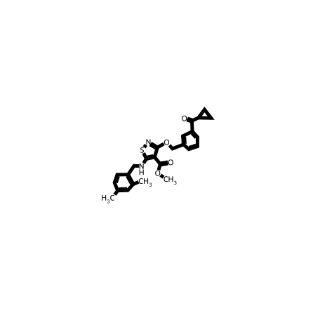 COC(=O)c1c(OCc2cccc(C(=O)C3CC3)c2)nsc1NCc1ccc(C)cc1C